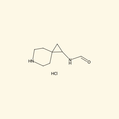 Cl.O=CNC1CC12CCNCC2